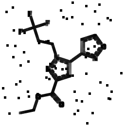 CCOC(=O)c1cc(-c2ccon2)n(CCC(F)(F)F)n1